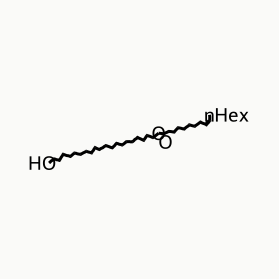 CCCCCC/C=C\CCCCCCCC(=O)OCCCCCCCCCCCCCCCCCCCCO